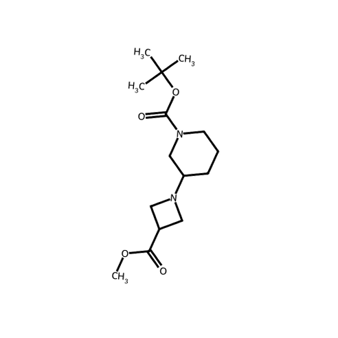 COC(=O)C1CN(C2CCCN(C(=O)OC(C)(C)C)C2)C1